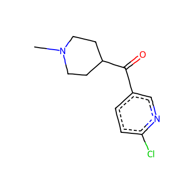 CN1CCC(C(=O)c2ccc(Cl)nc2)CC1